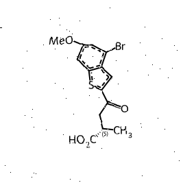 COc1cc(Br)c2cc(C(=O)C[C@H](C)C(=O)O)sc2c1